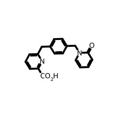 O=C(O)c1cccc(Cc2ccc(Cn3ccccc3=O)cc2)n1